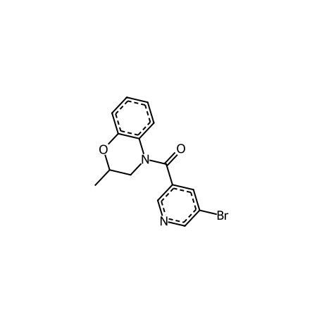 CC1CN(C(=O)c2cncc(Br)c2)c2ccccc2O1